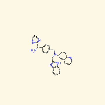 NC(c1ccc(CN(Cc2nc3ccccc3[nH]2)C2C=C3C=CC=NC3CC2)cc1)c1ncccn1